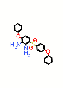 Nc1c(Oc2ccccc2)ccc(S(=O)(=O)c2ccc(Oc3ccccc3)cc2)c1N